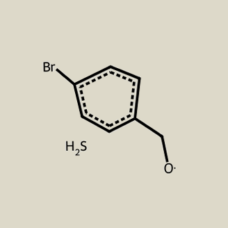 S.[O]Cc1ccc(Br)cc1